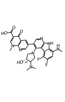 CNc1cc(F)c(F)c2c1[nH]c1ncc(-c3cnc4c(c3)c(=O)c(C(=O)O)cn4C)c(N3CC(N(C)C)[C@H](O)C3)c12